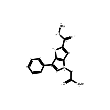 COC(=O)Cn1cc(-c2ccccc2)c2sc(C(=O)OC(C)(C)C)cc21